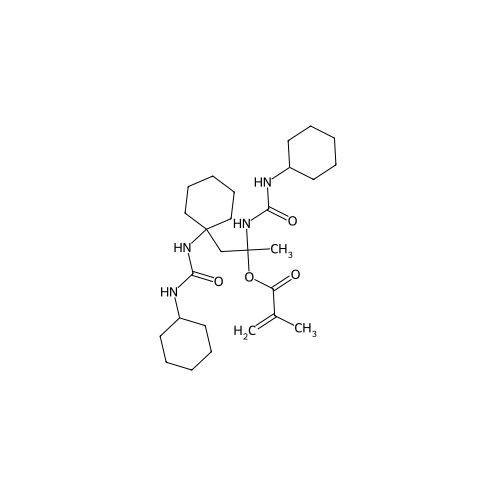 C=C(C)C(=O)OC(C)(CC1(NC(=O)NC2CCCCC2)CCCCC1)NC(=O)NC1CCCCC1